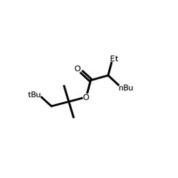 CCCCC(CC)C(=O)OC(C)(C)CC(C)(C)C